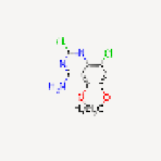 COc1cc(Cl)c2nc(Cl)nc(N)c2c1OC